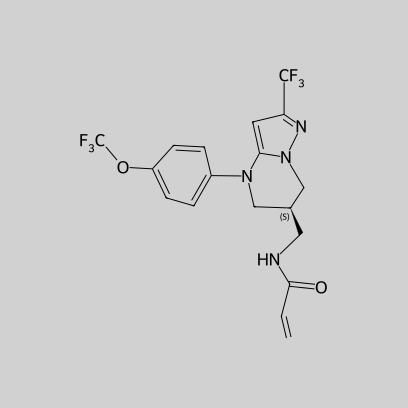 C=CC(=O)NC[C@H]1CN(c2ccc(OC(F)(F)F)cc2)c2cc(C(F)(F)F)nn2C1